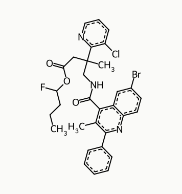 CCCC(F)OC(=O)CC(C)(CNC(=O)c1c(C)c(-c2ccccc2)nc2ccc(Br)cc12)c1ncccc1Cl